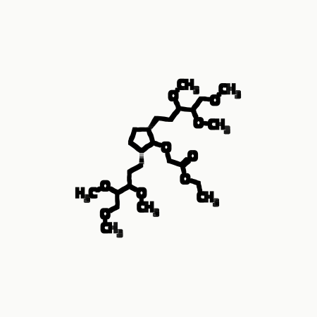 CCOC(=O)COC1[C@H](CCC(OC)C(COC)OC)CC[C@H]1CCC(OC)C(COC)OC